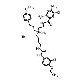 CCOc1ccc(NC(=O)NCCCC[N+](C)(CCCc2ccc(OC)cc2)CCNC(=O)c2nc(Cl)c(N)nc2N)cc1Cl.[Br-]